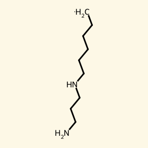 [CH2]CCCCCNCCCN